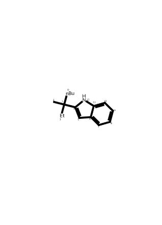 CCCCC(C)(CC)c1cc2ccccc2[nH]1